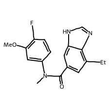 CCc1cc(C(=O)N(C)c2ccc(F)c(OC)c2)cc2[nH]cnc12